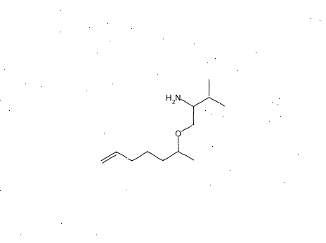 C=CCCCC(C)OCC(N)C(C)C